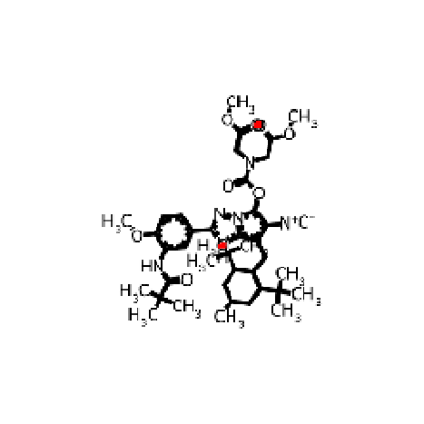 [C-]#[N+]c1c(CC2C(C(C)(C)C)CC(C)CC2C(C)(C)C)c2[nH]c(-c3ccc(OC)c(NC(=O)C(C)(C)C)c3)nn2c1OC(=O)N(CC(=O)OC)CC(=O)OC